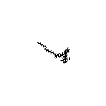 CCCCC/C=C/C/C=C\CCCCCCCC(=O)N1CCC(c2cc(Nc3cc(C)ccn3)nc(N3CCC(F)(F)C3)n2)CC1